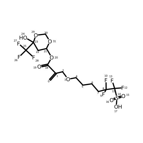 C=C(COCCCCC(F)(F)C(F)(F)S(=O)(=O)O)C(=O)OC1CC(O)(C(F)(F)F)OCO1